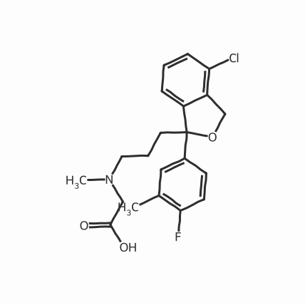 Cc1cc(C2(CCCN(C)CC(=O)O)OCc3c(Cl)cccc32)ccc1F